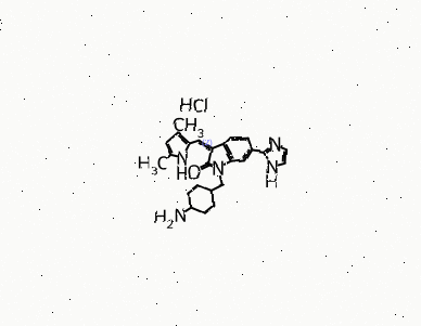 Cc1cc(C)c(/C=C2\C(=O)N(CC3CCC(N)CC3)c3cc(-c4ncc[nH]4)ccc32)[nH]1.Cl